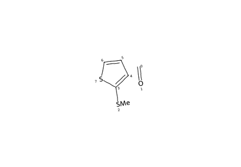 C=O.CSc1cccs1